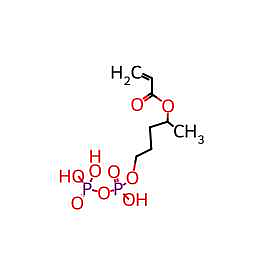 C=CC(=O)OC(C)CCCOP(=O)(O)OP(=O)(O)O